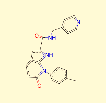 Cc1ccc(-n2c(=O)ccc3cc(C(=O)NCc4ccncc4)[nH]c32)cc1